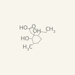 CCCC1CCC(C)C(O)C1(O)CC(=O)O